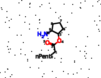 CCCCCCC(=O)OC1CCCC1N